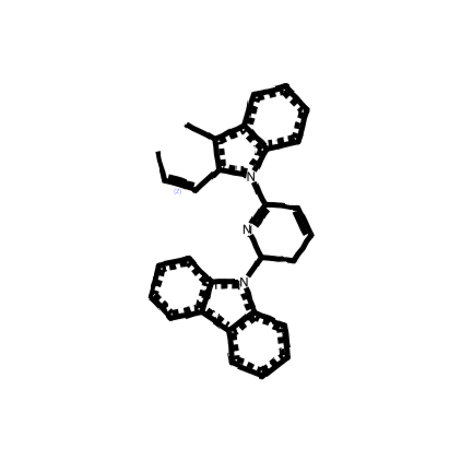 C/C=C\c1c(C)c2ccccc2n1C1=NC(n2c3ccccc3c3ccccc32)CC=C1